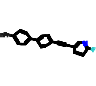 CCCc1ccc(-c2ccc(C#Cc3ccc(F)nc3)cc2)cc1